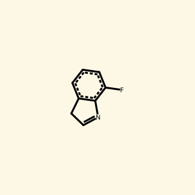 Fc1cccc2c1N=CC2